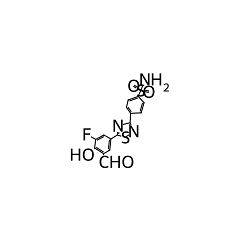 NS(=O)(=O)c1ccc(-c2nsc(-c3cc(F)c(O)c(C=O)c3)n2)cc1